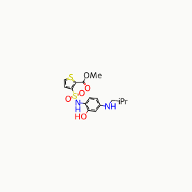 COC(=O)c1sccc1S(=O)(=O)Nc1ccc(NCC(C)C)cc1O